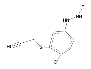 C#CCSc1cc(NNF)ccc1Cl